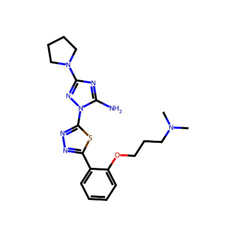 CN(C)CCCOc1ccccc1-c1nnc(-n2nc(N3CCCC3)nc2N)s1